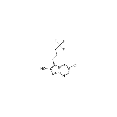 Oc1nc2ncc(Cl)cc2n1CCCC(F)(F)F